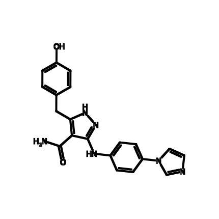 NC(=O)c1c(Nc2ccc(-n3ccnc3)cc2)n[nH]c1Cc1ccc(O)cc1